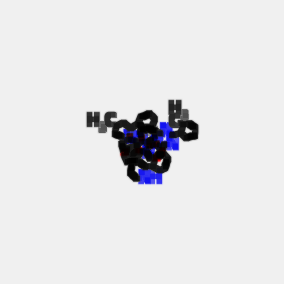 CC1C=CN=C(C2=C(n3c4ccccc4c4ccccc43)[C@H](c3nc(C4=C(N5c6ccccc6C6C=CC=CC65)C(C5=CC=C=CN5)CC=C4)nc(C4C=CC=CC4C)n3)CC=C2)C1